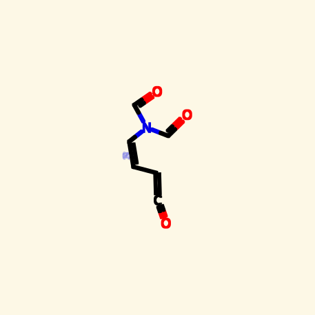 O=C=C/C=C\N(C=O)C=O